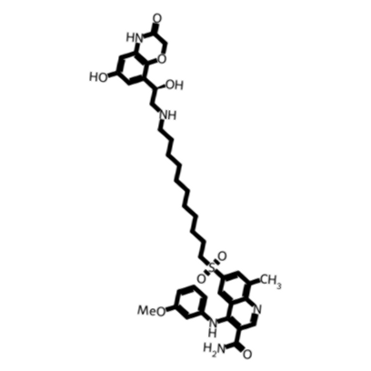 COc1cccc(Nc2c(C(N)=O)cnc3c(C)cc(S(=O)(=O)CCCCCCCCCCCNC[C@H](O)c4cc(O)cc5c4OCC(=O)N5)cc23)c1